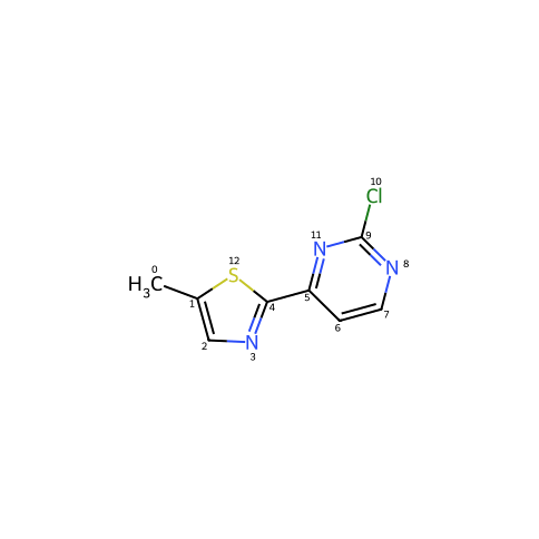 Cc1cnc(-c2ccnc(Cl)n2)s1